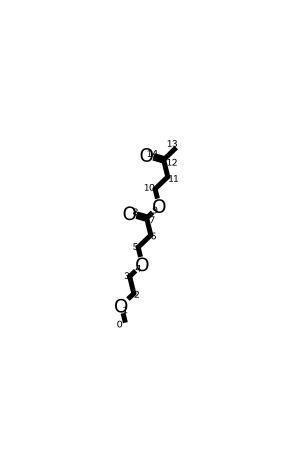 COCCOCCC(=O)OCCC(C)=O